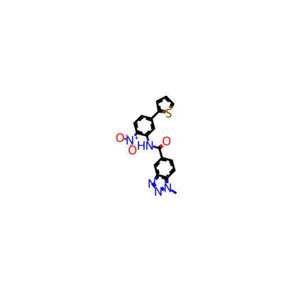 Cn1nnc2cc(C(=O)Nc3cc(-c4cccs4)ccc3[N+](=O)[O-])ccc21